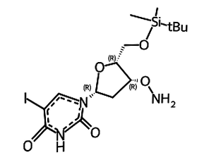 CC(C)(C)[Si](C)(C)OC[C@H]1O[C@@H](n2cc(I)c(=O)[nH]c2=O)C[C@H]1ON